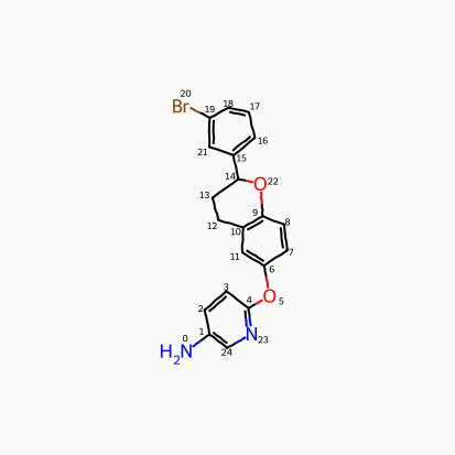 Nc1ccc(Oc2ccc3c(c2)CCC(c2cccc(Br)c2)O3)nc1